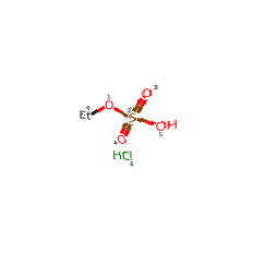 CCOS(=O)(=O)O.Cl